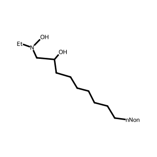 CCCCCCCCCCCCCCCCC(O)CN(O)CC